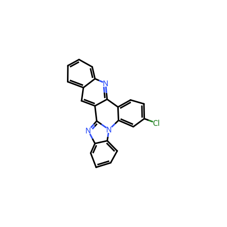 Clc1ccc2c3nc4ccccc4cc3c3nc4ccccc4n3c2c1